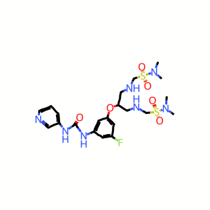 CN(C)S(=O)(=O)CNCC(CNCS(=O)(=O)N(C)C)Oc1cc(F)cc(NC(=O)Nc2cccnc2)c1